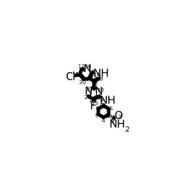 NC(=O)[C@@H]1CCC[C@H](Nc2nc(-c3c[nH]c4ncc(Cl)cc34)ncc2F)C1